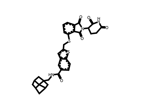 O=C1CCC(N2C(=O)c3cccc(SCc4cc5cc(C(=O)NCC67CC8CC9CC(C6)C987)ccc5s4)c3C2=O)C(=O)N1